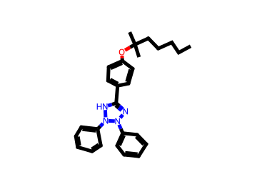 CCCCCC(C)(C)Oc1ccc(C2=NN(c3ccccc3)N(c3ccccc3)N2)cc1